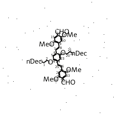 CCCCCCCCCCCCOc1cc(C=Cc2cc(OC)c(C=O)cc2OC)c(OCCCCCCCCCCCC)cc1C=Cc1cc(OC)c(C=O)cc1OC